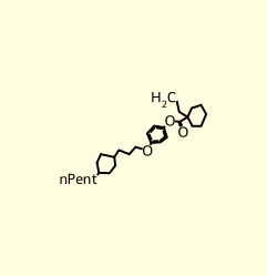 C=CCC1(C(=O)Oc2ccc(OCCCC3CCC(CCCCC)CC3)cc2)CCCCC1